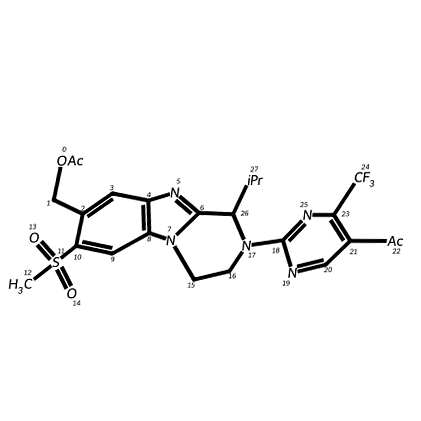 CC(=O)OCc1cc2nc3n(c2cc1S(C)(=O)=O)CCN(c1ncc(C(C)=O)c(C(F)(F)F)n1)C3C(C)C